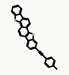 Cc1ccc(C#Cc2ccc3c(c2)oc2c3ccc3c2ccc2c4ccccc4sc23)cc1